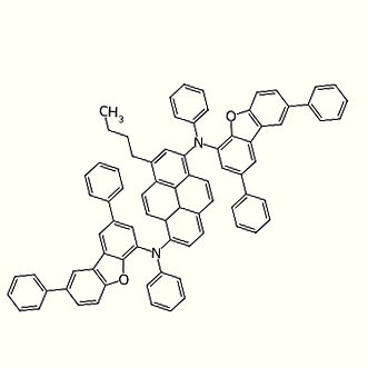 CCCCc1cc(N(c2ccccc2)c2cc(-c3ccccc3)cc3c2oc2ccc(-c4ccccc4)cc23)c2c3c1C=CC1C(N(c4ccccc4)c4cc(-c5ccccc5)cc5c4oc4ccc(-c6ccccc6)cc45)=CC=C(C=C2)C31